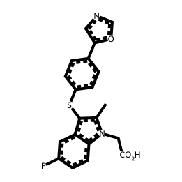 Cc1c(Sc2ccc(-c3cnco3)cc2)c2cc(F)ccc2n1CC(=O)O